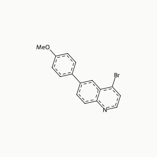 COc1ccc(-c2ccc3nccc(Br)c3c2)cc1